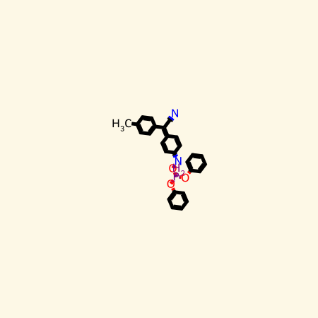 Cc1ccc(C(C#N)=C2C=CC(=NO[PH2](Oc3ccccc3)Oc3ccccc3)C=C2)cc1